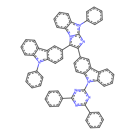 c1ccc(-c2nc(-c3ccccc3)nc(-n3c4ccccc4c4cc(-c5nc6n(-c7ccccc7)c7ccccc7n6c5-c5ccc6c(c5)c5ccccc5n6-c5ccccc5)ccc43)n2)cc1